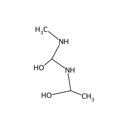 CNC(O)NC(C)O